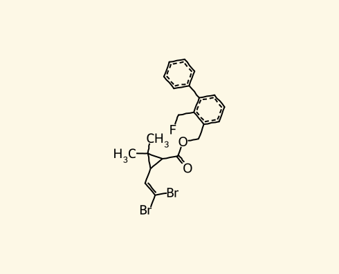 CC1(C)C(C=C(Br)Br)C1C(=O)OCc1cccc(-c2ccccc2)c1CF